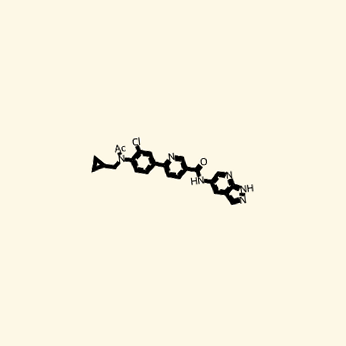 CC(=O)N(CC1CC1)c1ccc(-c2ccc(C(=O)Nc3cnc4[nH]ncc4c3)cn2)cc1Cl